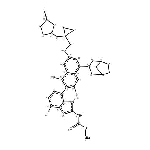 CC(C)(C)OC(=O)Nc1nc2c(-c3c(F)cc4c(N5CC6CCC(C6)C5)nc(OCC5(CN6CC[C@@H](F)C6)CC5)nc4c3F)ccc(F)c2s1